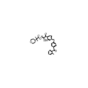 CCCC/C(=N\OC(=O)C(C)(C)N1CCOCC1)C(=O)c1ccc(Sc2ccc(C(=O)c3ccccc3C)cc2)cc1